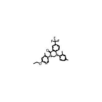 CCOc1cc(C)c(N2CN(c3ccc(C)cc3C)c3ccc(C(F)(F)F)cc3C2=O)cn1